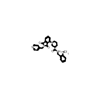 O=C(NCc1ccccc1OC(F)(F)F)[C@@H]1CCCN(c2cccc3c2C(=O)N(Cc2ccncc2)C3=O)C1